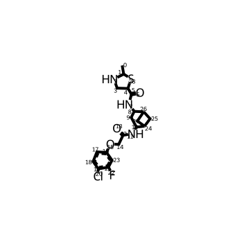 CC1NCC(C(=O)NC2CC(NC(=O)COc3ccc(Cl)c(F)c3)C3CC2C3)S1